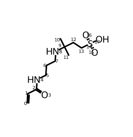 C=CC(=O)NCCCNC(C)(C)CCS(=O)(=O)O